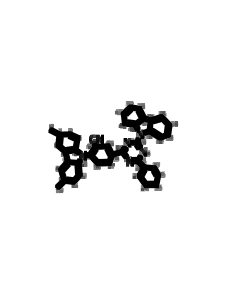 Cc1ccc2c(c1)c1cc(C)ccc1n2-c1ccc(-c2nc(-c3ccccc3)nc(-n3c4ccccc4c4ccccc43)n2)cc1C#N